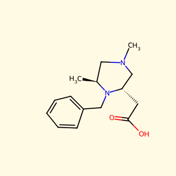 C[C@H]1CN(C)C[C@H](CC(=O)O)N1Cc1ccccc1